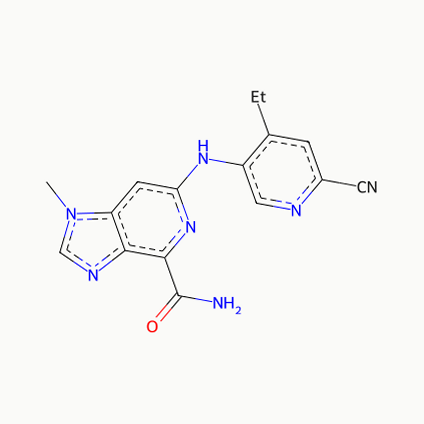 CCc1cc(C#N)ncc1Nc1cc2c(ncn2C)c(C(N)=O)n1